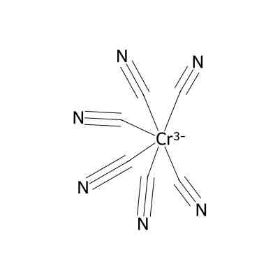 N#[C][Cr-3]([C]#N)([C]#N)([C]#N)([C]#N)[C]#N